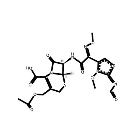 CON=C(C(=O)N[C@@H]1C(=O)N2C(C(=O)O)=C(COC(C)=O)CS[C@@H]12)c1csc(=NC=O)n1OC